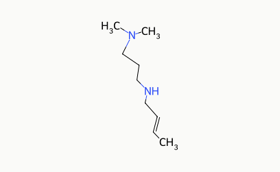 CC=CCNCCCN(C)C